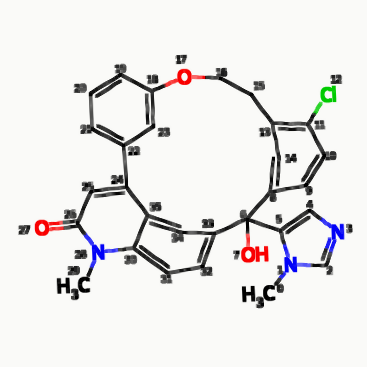 Cn1cncc1C1(O)c2ccc(Cl)c(c2)CCOc2cccc(c2)-c2cc(=O)n(C)c3ccc1cc23